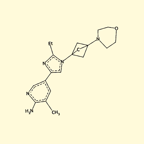 CCc1nc(-c2cnc(N)c(C)c2)cn1C12CC(N3CCOCC3)(C1)C2